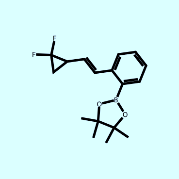 CC1(C)OB(c2ccccc2/C=C/C2CC2(F)F)OC1(C)C